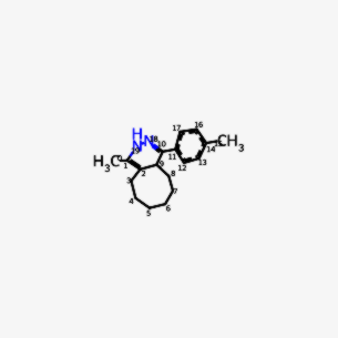 CC1=C2CCCCCCC2C(c2ccc(C)cc2)=NN1